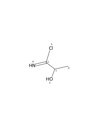 CC(O)C(=N)Cl